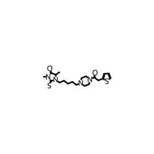 CC1C(=O)N(C)C(=S)N1CCCCCN1CCN(C(=O)Cc2cccs2)CC1